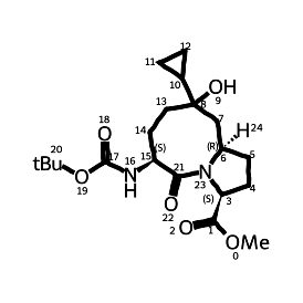 COC(=O)[C@@H]1CC[C@@H]2CC(O)(C3CC3)CC[C@H](NC(=O)OC(C)(C)C)C(=O)N21